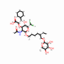 CC[C@H](CCC[C@H](C)O[C@@H]1O[C@@H](C(F)F)[C@@H](O)C(O[C@@H](CC2CCCCC2)C(=O)O)C1NC(C)=O)COC1O[C@@H](C)C(O)[C@H](O)[C@@H]1O